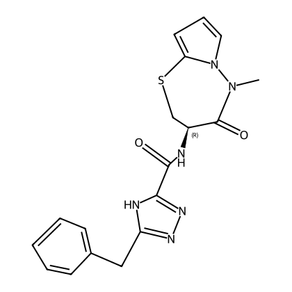 CN1C(=O)[C@@H](NC(=O)c2nnc(Cc3ccccc3)[nH]2)CSc2cccn21